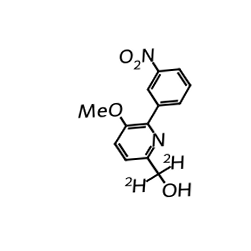 [2H]C([2H])(O)c1ccc(OC)c(-c2cccc([N+](=O)[O-])c2)n1